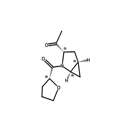 CC(=O)[C@@H]1C[C@H]2C[C@H]2N1C(=O)[C@H]1CCCO1